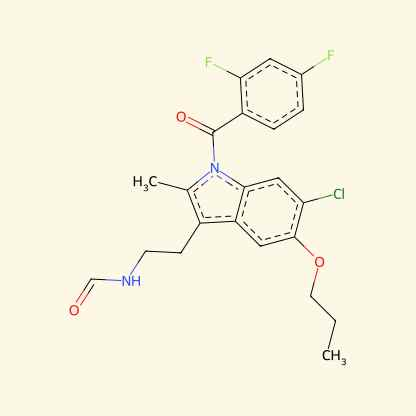 CCCOc1cc2c(CCNC=O)c(C)n(C(=O)c3ccc(F)cc3F)c2cc1Cl